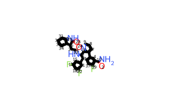 NC(=O)c1cc(-c2cccnc2C(Cc2cc(F)cc(F)c2)NC(=O)CC2C(=O)Nc3ccccc32)ccc1F